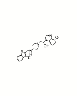 COc1cccc2c([C@@H](O)CN3CCC(NCc4sc5ccccc5c4Cl)CC3)ccnc12